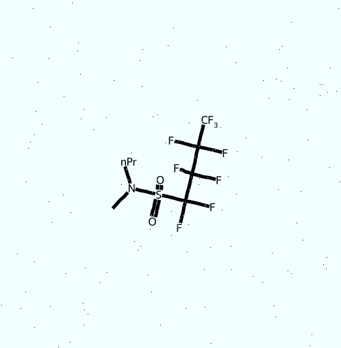 [CH2]CCN(C)S(=O)(=O)C(F)(F)C(F)(F)C(F)(F)C(F)(F)F